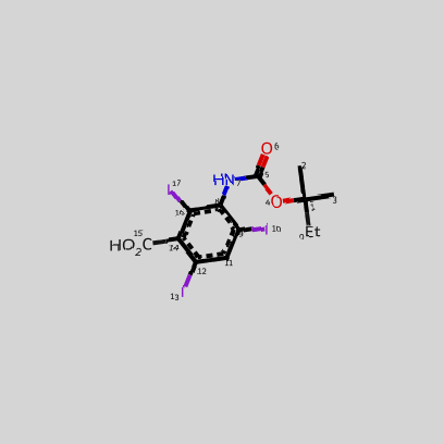 CCC(C)(C)OC(=O)Nc1c(I)cc(I)c(C(=O)O)c1I